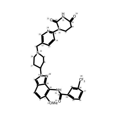 COc1ccc2cn(C3CCN(Cc4ccc(N5CCC(=O)NC5=O)nc4)CC3)nc2c1NC(=O)c1cccc(C(F)(F)F)c1